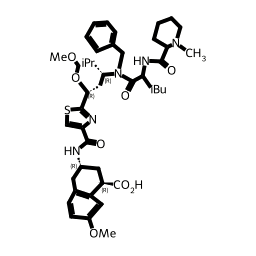 CCC(C)C(NC(=O)C1CCCCN1C)C(=O)N(Cc1ccccc1)[C@H](C[C@@H](OCOC)c1nc(C(=O)N[C@H]2Cc3ccc(OC)cc3[C@H](C(=O)O)C2)cs1)C(C)C